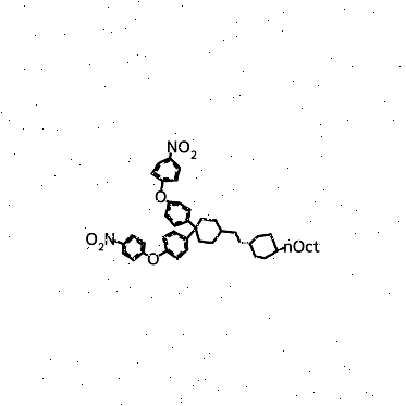 CCCCCCCC[C@H]1CC[C@H](CCC2CCC(c3ccc(Oc4ccc([N+](=O)[O-])cc4)cc3)(c3ccc(Oc4ccc([N+](=O)[O-])cc4)cc3)CC2)CC1